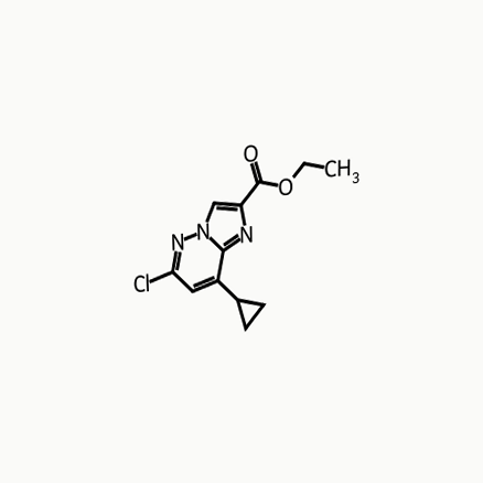 CCOC(=O)c1cn2nc(Cl)cc(C3CC3)c2n1